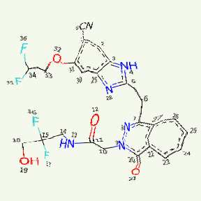 N#Cc1cc2[nH]c(Cc3nn(CC(=O)NCC(F)(F)CO)c(=O)c4ccccc34)nc2cc1OCC(F)F